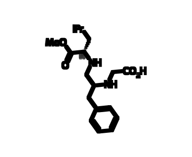 COC(=O)[C@H](CC(C)C)NCC(Cc1ccccc1)NCC(=O)O